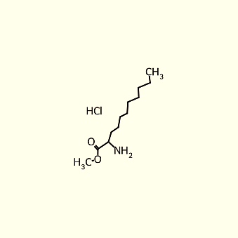 CCCCCCCCCC(N)C(=O)OC.Cl